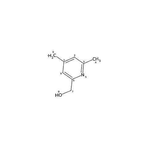 [CH2]c1cc(C)nc(CO)c1